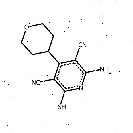 N#Cc1c(N)nc(S)c(C#N)c1C1CCOCC1